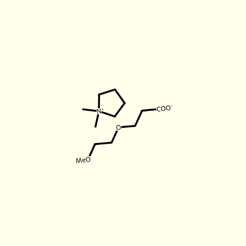 COCCOCCC(=O)[O-].C[N+]1(C)CCCC1